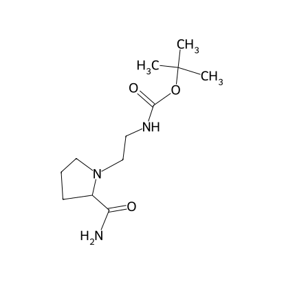 CC(C)(C)OC(=O)NCCN1CCCC1C(N)=O